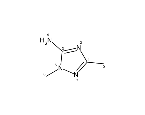 Cc1nc(N)n(C)n1